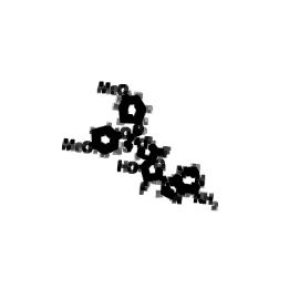 COc1ccc(OP(=S)(OC[C@@]2(C(F)F)O[C@@H](n3cnc4c(N)ncnc43)[C@@H](F)[C@@H]2O)Oc2ccc(OC)cc2)cc1